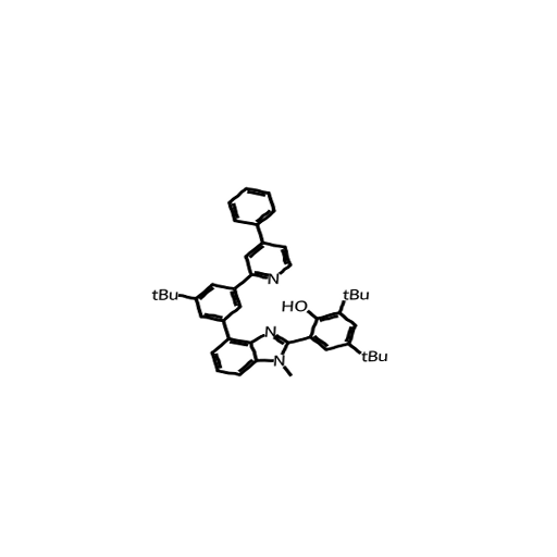 Cn1c(-c2cc(C(C)(C)C)cc(C(C)(C)C)c2O)nc2c(-c3cc(-c4cc(-c5ccccc5)ccn4)cc(C(C)(C)C)c3)cccc21